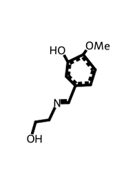 COc1ccc(C=NCCO)cc1O